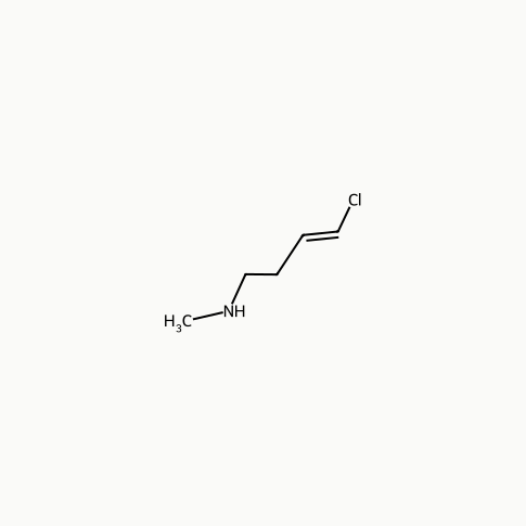 CNCC/C=C/Cl